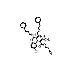 CC1=C(C(=O)OCCC#N)C(c2cccc(Cl)c2)C(C(=O)NC/C=C/c2ccccc2)=C(COCCc2ccccc2)N1